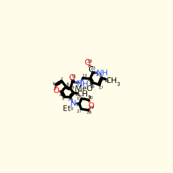 CCN(c1cc2occc2c(C(=O)NCC2=C(OC)C=C(C)NC2=C=O)c1C)C1CCOCC1